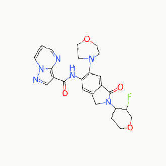 O=C(Nc1cc2c(cc1N1CCOCC1)C(=O)N(C1CCOCC1F)C2)c1cnn2cccnc12